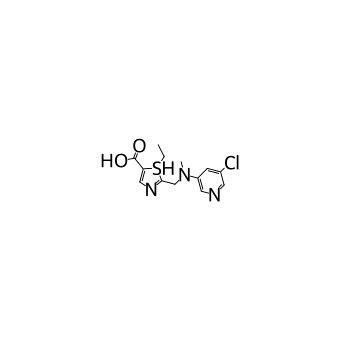 CC[SH]1C(C(=O)O)=CN=C1CN(C)c1cncc(Cl)c1